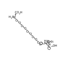 CCc1cnn2c(NCc3ccc(OCCOCCOCCOCCOCCOCCOCCOCCOCCN(C)C/C=C/C(=O)O)nc3)cc(N3CCCC[C@H]3CCO)nc12